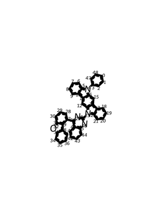 c1ccc(-n2c3ccccc3c3cc4c(cc32)c2ccccc2n4-c2nc(-c3cccc4oc5ccccc5c34)c3ccccc3n2)cc1